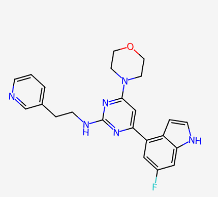 Fc1cc(-c2cc(N3CCOCC3)nc(NCCc3cccnc3)n2)c2cc[nH]c2c1